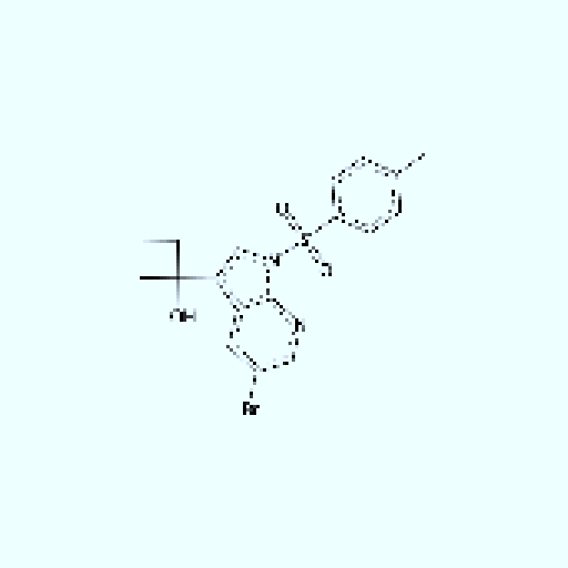 Cc1ccc(S(=O)(=O)n2cc(C3(O)CCC3)c3cc(Br)cnc32)cc1